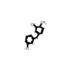 CC1C=CC(Cc2cccc(Cl)c2)=CC1Cl